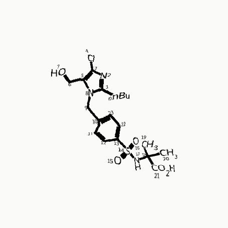 CCCCc1nc(Cl)c(CO)n1Cc1ccc(S(=O)(=O)NC(C)(C)C(=O)O)cc1